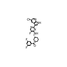 O=C(c1cc(F)cc(F)c1)N1CCC[C@@H](CNc2nc(-c3c[nH]c4ncc(Cl)cc34)ncc2F)C1